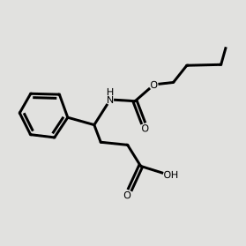 CCCCOC(=O)NC(CCC(=O)O)c1ccccc1